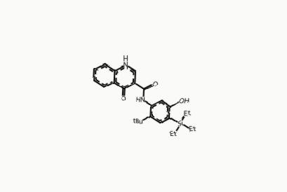 CC[Si](CC)(CC)c1cc(C(C)(C)C)c(NC(=O)c2c[nH]c3ccccc3c2=O)cc1O